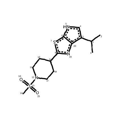 CC(C)c1c[nH]c2sc(C3CCN(S(C)(=O)=O)CC3)nc12